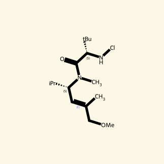 COC/C(C)=C/[C@H](C(C)C)N(C)C(=O)[C@@H](NCl)C(C)(C)C